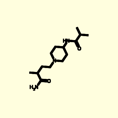 CC(C)C(=O)NC1CCN(CCC(C)C(N)=O)CC1